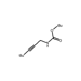 CC(C)(C)C#CCNC(=O)OC(C)(C)C